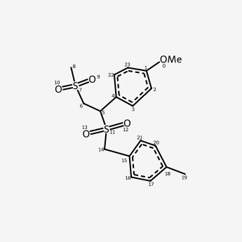 COc1ccc(C(CS(C)(=O)=O)S(=O)(=O)Cc2ccc(C)cc2)cc1